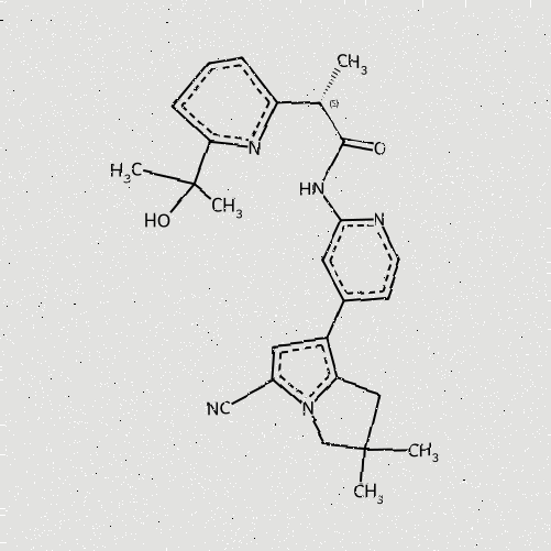 C[C@H](C(=O)Nc1cc(-c2cc(C#N)n3c2CC(C)(C)C3)ccn1)c1cccc(C(C)(C)O)n1